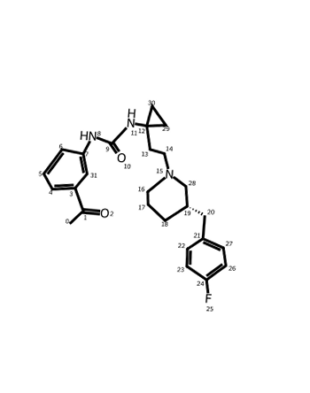 CC(=O)c1cccc(NC(=O)NC2(CCN3CCC[C@@H](Cc4ccc(F)cc4)C3)CC2)c1